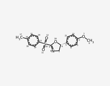 COc1ccc([C@@H]2CN=C(S(=O)(=O)c3ccc(C)cc3)O2)cc1